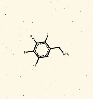 NCc1[c]c(F)c(F)c(F)c1F